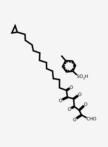 Cc1ccc(S(=O)(=O)O)cc1.O=CC(=O)C(=O)C(=O)C(=O)C(=O)C(=O)CCCCCCCCCCCCC1CC1